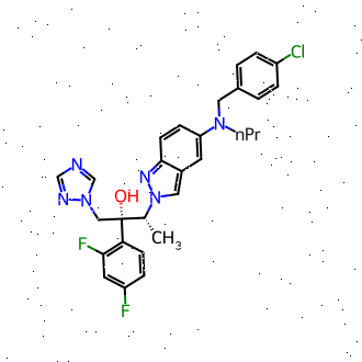 CCCN(Cc1ccc(Cl)cc1)c1ccc2nn([C@H](C)[C@](O)(Cn3cncn3)c3ccc(F)cc3F)cc2c1